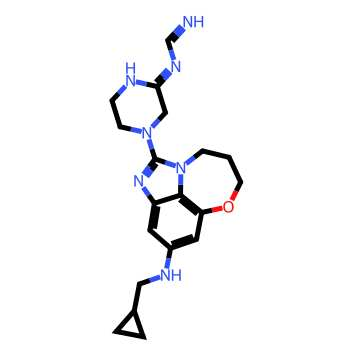 N=C/N=C1/CN(c2nc3cc(NCC4CC4)cc4c3n2CCCO4)CCN1